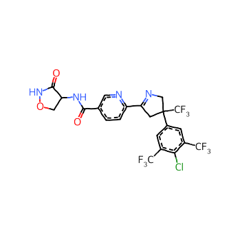 O=C(NC1CONC1=O)c1ccc(C2=NCC(c3cc(C(F)(F)F)c(Cl)c(C(F)(F)F)c3)(C(F)(F)F)C2)nc1